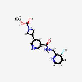 CC(C)(C)OC(=O)N1CC(c2cncc(C(=O)NCc3ncccc3F)c2)C1